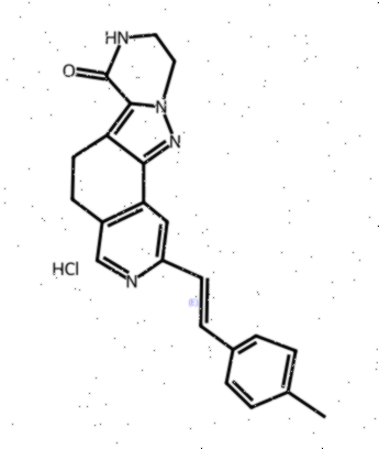 Cc1ccc(/C=C/c2cc3c(cn2)CCc2c-3nn3c2C(=O)NCC3)cc1.Cl